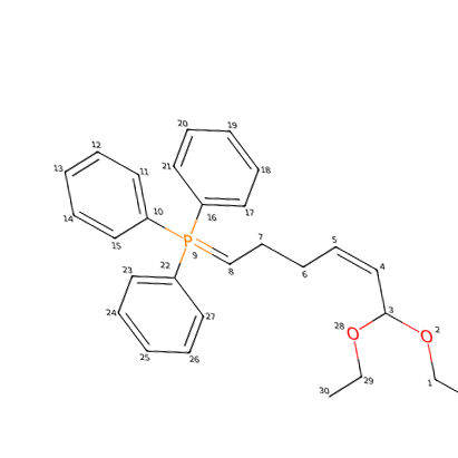 CCOC(/C=C\CCC=P(c1ccccc1)(c1ccccc1)c1ccccc1)OCC